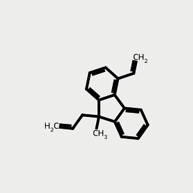 C=CCC1(C)c2ccccc2-c2c(C=C)cccc21